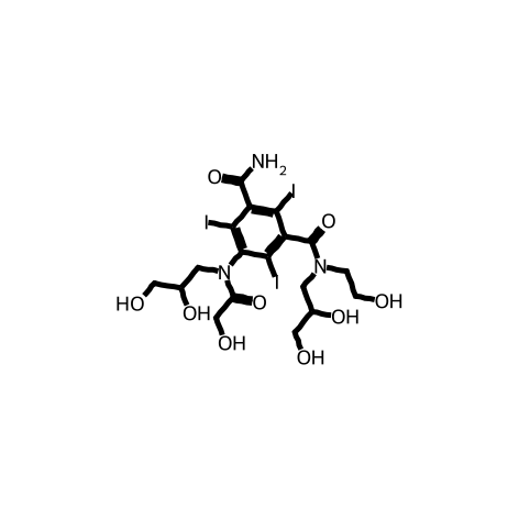 NC(=O)c1c(I)c(C(=O)N(CCO)CC(O)CO)c(I)c(N(CC(O)CO)C(=O)CO)c1I